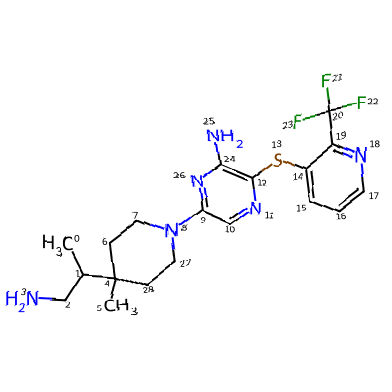 CC(CN)C1(C)CCN(c2cnc(Sc3cccnc3C(F)(F)F)c(N)n2)CC1